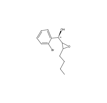 CCCCC1OC1[C@H](O)c1ccccc1Br